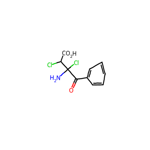 NC(Cl)(C(=O)c1ccccc1)C(Cl)C(=O)O